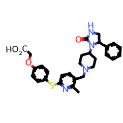 Cc1nc(Sc2ccc(OCC(=O)O)cc2)ccc1CN1CCC(N2C(=O)NCC2c2ccccc2)CC1